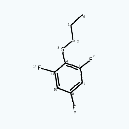 CCSSc1c(F)cc(F)cc1F